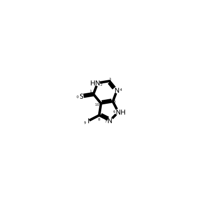 S=c1[nH]cnc2[nH]nc(I)c12